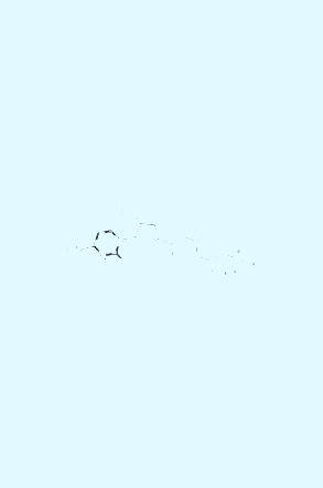 C[C@H](OP(O)OP(O)OP(=O)(O)O)[C@@H]1C[C@H](C)[C@H](n2ccc(N)nc2=O)O1